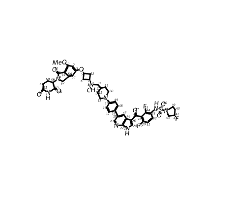 COc1cc(O[C@H]2C[C@H](N(C)CC3CCN(c4ccc(-c5cnc6[nH]cc(C(=O)c7c(F)ccc(NS(=O)(=O)N8CC[C@@H](F)C8)c7F)c6c5)cc4)CC3)C2)cc2c1C(=O)N(C1CCC(=O)NC1=O)C2